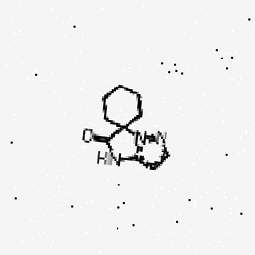 O=C1Nc2ccnn2C12CCCCC2